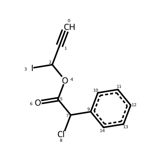 C#CC(I)OC(=O)C(Cl)c1ccccc1